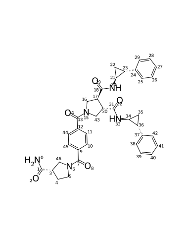 NC(=O)[C@H]1CCN(C(=O)c2ccc(C(=O)N3C[C@@H](C(=O)N[C@H]4C[C@@H]4c4ccccc4)[C@H](C(=O)N[C@H]4C[C@@H]4c4ccccc4)C3)cc2)C1